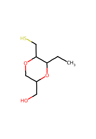 CCC1OC(CO)COC1CS